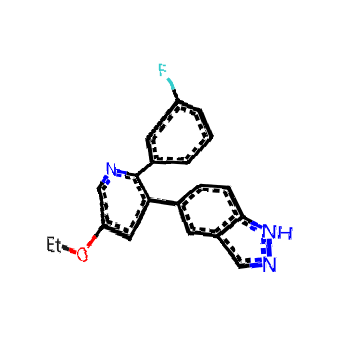 CCOc1cnc(-c2cccc(F)c2)c(-c2ccc3[nH]ncc3c2)c1